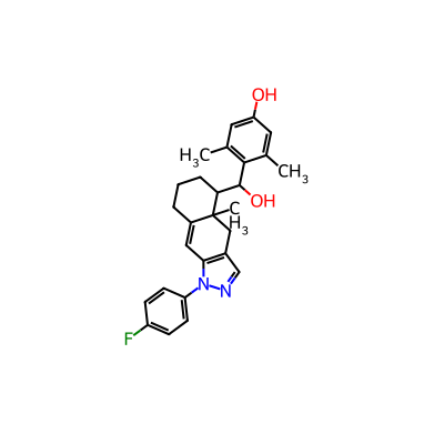 Cc1cc(O)cc(C)c1C(O)C1CCCC2=Cc3c(cnn3-c3ccc(F)cc3)CC21C